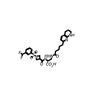 O=C(CCCCc1ccc2c(n1)NCCC2)NC[C@H](NC(=O)C1CN(S(=O)(=O)c2cccc(C(F)F)c2)C1)C(=O)O